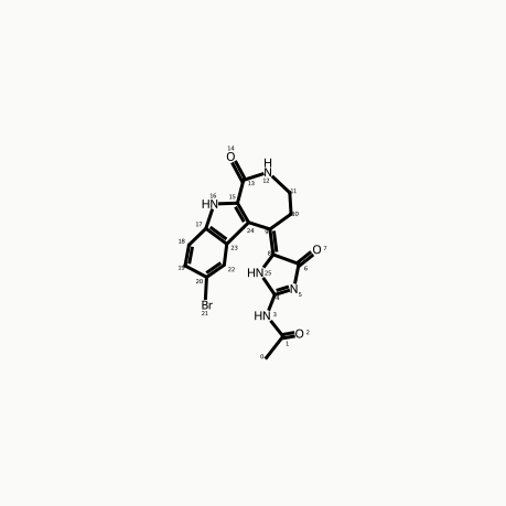 CC(=O)NC1=NC(=O)C(=C2CCNC(=O)c3[nH]c4ccc(Br)cc4c32)N1